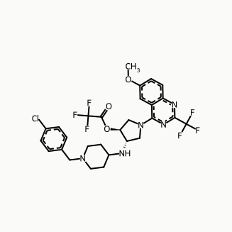 COc1ccc2nc(C(F)(F)F)nc(N3C[C@H](NC4CCN(Cc5ccc(Cl)cc5)CC4)[C@@H](OC(=O)C(F)(F)F)C3)c2c1